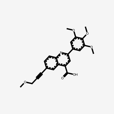 COCC#Cc1ccc2nc(-c3cc(OC)c(OC)c(OC)c3)cc(C(=O)O)c2c1